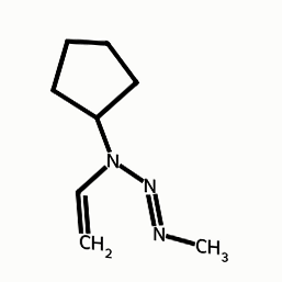 C=CN(N=NC)C1CCCC1